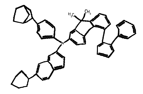 CC1(C)c2cc(N(c3ccc(C4CC5CCC4C5)cc3)c3ccc4ccc(C5CCCCC5)cc4c3)ccc2-c2c(-c3ccccc3-c3ccccc3)cccc21